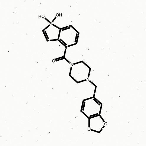 O=C(c1cccc2c1C=CS2(O)O)N1CCN(Cc2ccc3c(c2)OCO3)CC1